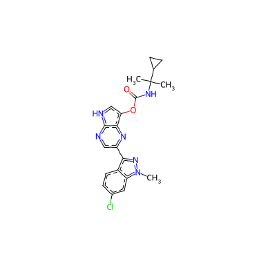 Cn1nc(-c2cnc3[nH]cc(OC(=O)NC(C)(C)C4CC4)c3n2)c2ccc(Cl)cc21